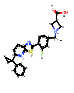 C[C@H](c1ccc(-c2nc3ccc(C4(c5ccccc5)CC4)nc3s2)c(F)c1)N1CC(C(=O)O)C1